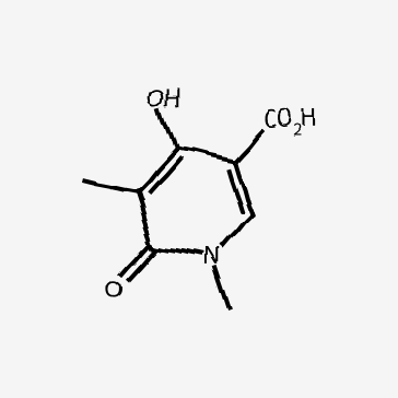 Cc1c(O)c(C(=O)O)cn(C)c1=O